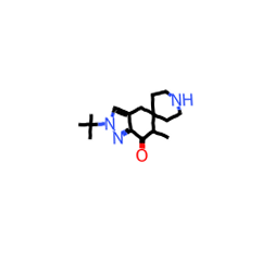 CC1C(=O)c2nn(C(C)(C)C)cc2CC12CCNCC2